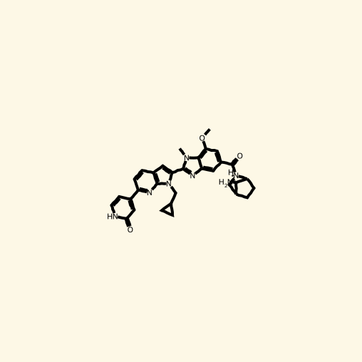 COc1cc(C(=O)N2CC3CCC2[C@@H]3N)cc2nc(-c3cc4ccc(-c5cc[nH]c(=O)c5)nc4n3CC3CC3)n(C)c12